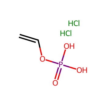 C=COP(=O)(O)O.Cl.Cl